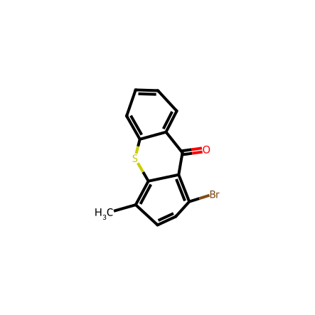 Cc1ccc(Br)c2c(=O)c3ccccc3sc12